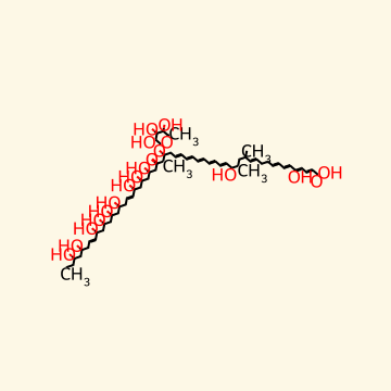 CCCC(O)CC(O)CC=CC(O)CC(O)CC(O)CC(O)CC=CC(O)CC(O)CC(O)CC(=O)C(C)C(CC=CC=CC=CC=CC=CC(O)C(C)CC(C)C=CCCC=CC=CC(O)=CC=CC(=O)O)OC1OC(C)C(O)C(O)C1O